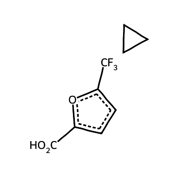 C1CC1.O=C(O)c1ccc(C(F)(F)F)o1